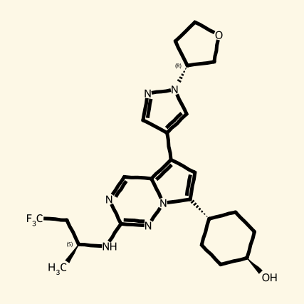 C[C@@H](CC(F)(F)F)Nc1ncc2c(-c3cnn([C@@H]4CCOC4)c3)cc([C@H]3CC[C@H](O)CC3)n2n1